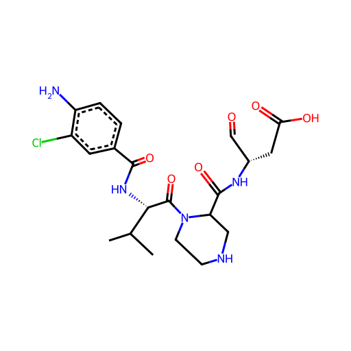 CC(C)[C@H](NC(=O)c1ccc(N)c(Cl)c1)C(=O)N1CCNCC1C(=O)N[C@H](C=O)CC(=O)O